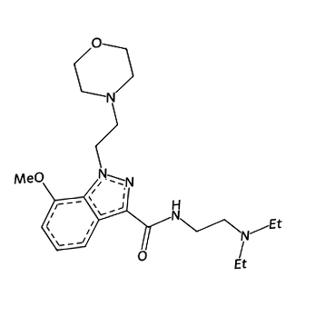 CCN(CC)CCNC(=O)c1nn(CCN2CCOCC2)c2c(OC)cccc12